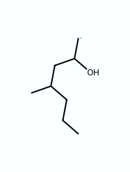 [CH2]C(O)CC(C)CCC